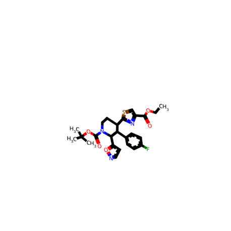 CCOC(=O)c1csc(C2CCN(C(=O)OC(C)(C)C)C(c3ccno3)C2c2ccc(F)cc2)n1